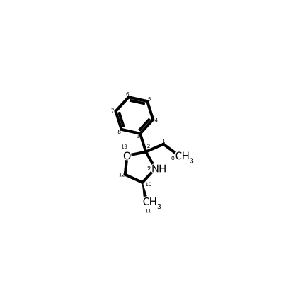 CCC1(c2ccccc2)N[C@@H](C)CO1